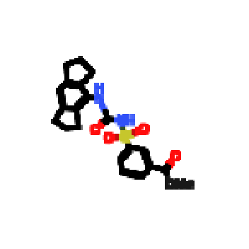 COC(=O)c1cccc(S(=O)(=O)NC(=O)Nc2c3c(cc4c2CCC4)CCC3)c1